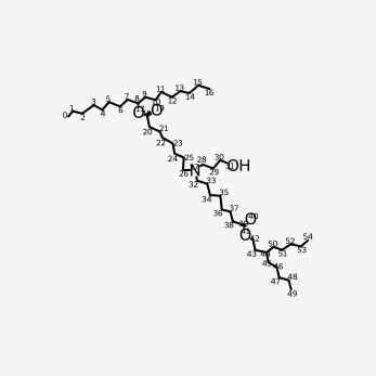 CCCCCCCCC(CCCCCCCC)OC(=O)CCCCCCCN(CCCO)CCCCCCCC(=O)OCCC(CCCCC)CCCCC